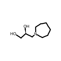 OC[C@@H](O)CN1CCCCCC1